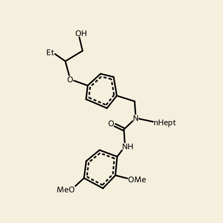 CCCCCCCN(Cc1ccc(OC(CC)CO)cc1)C(=O)Nc1ccc(OC)cc1OC